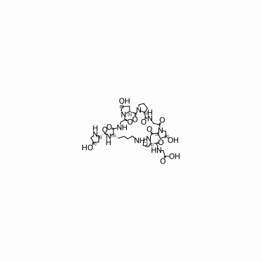 NCCCC[C@H](NC(=O)[C@@H]1C[C@@H](O)CN1)C(=O)NCC(=O)N1C[C@H](O)C[C@H]1C(=O)N1CCC[C@H]1C(=O)NCC(=O)N1C[C@H](O)C[C@H]1C(=O)N1CCC[C@H]1C(=O)NCC(=O)O